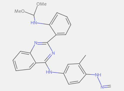 C=NNc1ccc(Nc2nc(-c3ccccc3NC(OC)OC)nc3ccccc23)cc1C